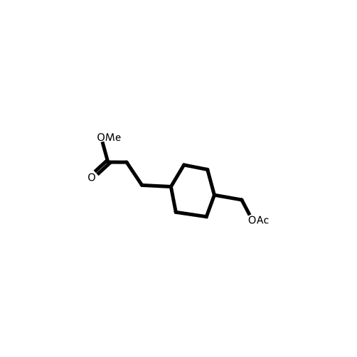 COC(=O)CCC1CCC(COC(C)=O)CC1